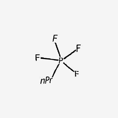 CCCP(F)(F)(F)F